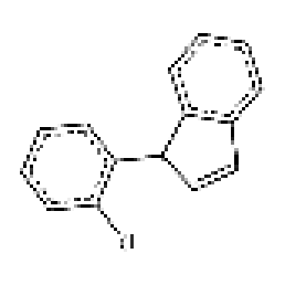 Clc1ccccc1[C]1C=Cc2ccccc21